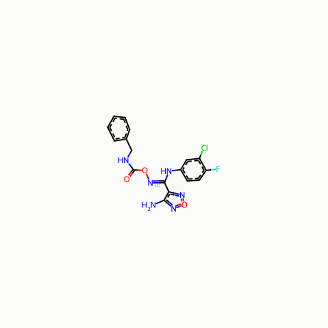 Nc1nonc1/C(=N/OC(=O)NCc1ccccc1)Nc1ccc(F)c(Cl)c1